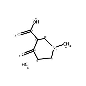 CN1CCC(=O)C(C(=O)O)C1.Cl